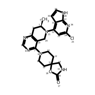 C[C@@H]1Cc2ncnc(N3CCC4(CC3)CNC(=O)O4)c2CN1c1cc(Cl)nc2[nH]ccc12